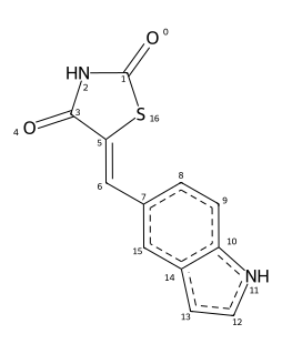 O=C1NC(=O)C(=Cc2ccc3[nH]ccc3c2)S1